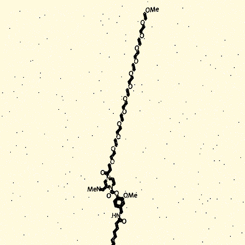 CNCC1CN(C(=O)CCOCCOCCOCCOCCOCCOCCOCCOCCOCCOCCOCCOCCOC)CCN1C(=O)Oc1ccc(CNC(=O)CCCC/C=C/C(C)C)cc1OC